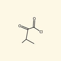 CC(C)C(=O)C(=O)Cl